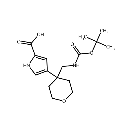 CC(C)(C)OC(=O)NCC1(c2c[nH]c(C(=O)O)c2)CCOCC1